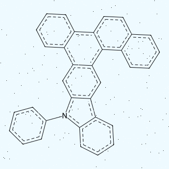 c1ccc(-n2c3ccccc3c3cc4c(cc32)c2ccccc2c2ccc3ccccc3c24)cc1